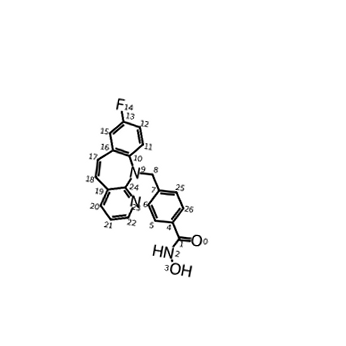 O=C(NO)c1ccc(CN2c3ccc(F)cc3C=Cc3cccnc32)cc1